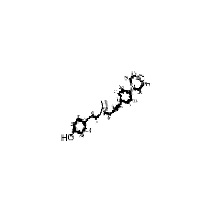 Oc1ccc(CCNCC#Cc2ccc(N3CCOCC3)cc2)cc1